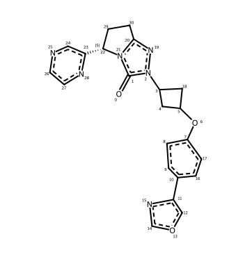 O=c1n(C2CC(Oc3ccc(-c4cocn4)cc3)C2)nc2n1[C@H](c1cnccn1)CC2